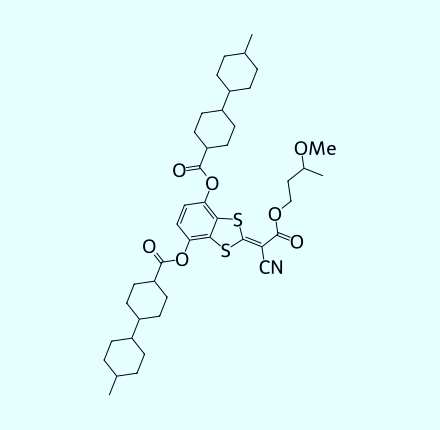 COC(C)CCOC(=O)C(C#N)=C1Sc2c(OC(=O)C3CCC(C4CCC(C)CC4)CC3)ccc(OC(=O)C3CCC(C4CCC(C)CC4)CC3)c2S1